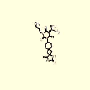 CCCCN1C(=O)C(=C(N)N)C(=O)N(C2CCC3(CC2)CC2(C3)NC(=O)NC2=O)C1=O